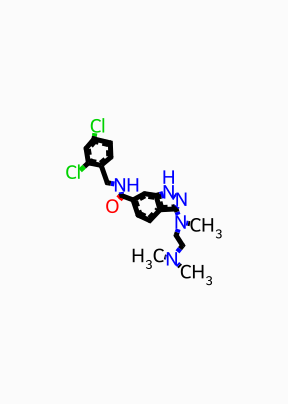 CN(C)CCN(C)c1n[nH]c2cc(C(=O)NCc3ccc(Cl)cc3Cl)ccc12